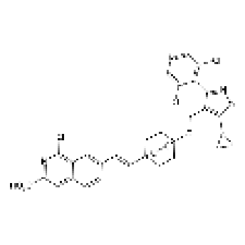 O=C(O)c1cc2ccc(/C=C/C34CCC(OCc5c(-c6c(Cl)cncc6Cl)noc5C5CC5)(CC3)CC4)cc2c(Cl)n1